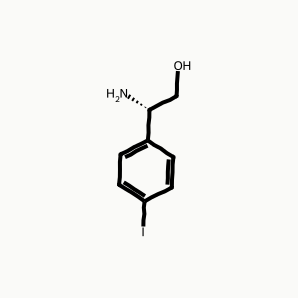 N[C@H](CO)c1ccc(I)cc1